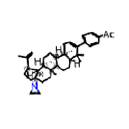 C=C(C)[C@@H]1CC[C@]2(N3CC3)CC[C@]3(C)[C@H](CC[C@@H]4[C@@]5(C)CC=C(c6ccc(C(C)=O)cc6)C(C)(C)[C@@H]5CC[C@]43C)[C@@H]12